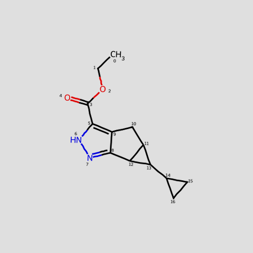 CCOC(=O)c1[nH]nc2c1CC1C2C1C1CC1